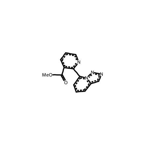 COC(=O)c1cccnc1-c1cccc2cnnn12